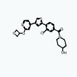 O=C(c1ccc(-c2cc(-c3ccnc(OC4COC4)c3)cs2)c(Cl)c1)N1CCC(O)CC1